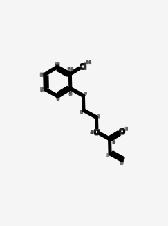 C=CC(=O)OCCCc1ccccc1Cl